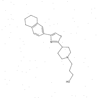 OCCCN1CCC(c2nc(-c3ccc4c(c3)CCCC4)cs2)CC1